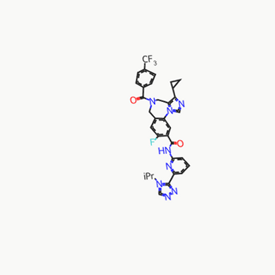 CC(C)n1cnnc1-c1cccc(NC(=O)c2cc3c(cc2F)CN(C(=O)c2ccc(C(F)(F)F)cc2)Cc2c(C4CC4)ncn2-3)n1